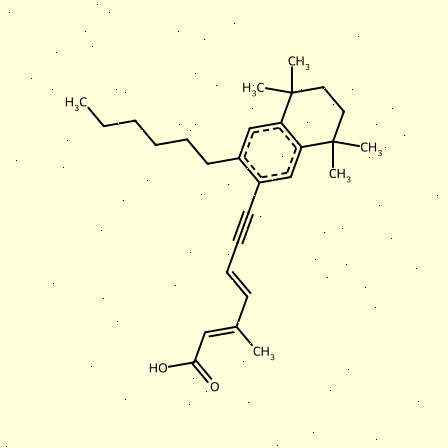 CCCCCCc1cc2c(cc1C#CC=CC(C)=CC(=O)O)C(C)(C)CCC2(C)C